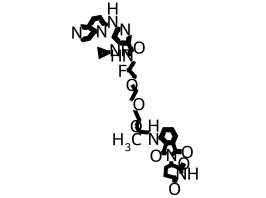 CC(CNc1cccc2c1C(=O)N(C1CCC(=O)NC1=O)C2=O)OCCOCCOCC(F)CNC(=O)c1cnc(Nc2ccc3cnccc3n2)cc1NC1CC1